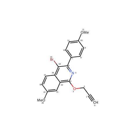 C#CCOc1nc(-c2ccc(OC)cc2)c(Br)c2ccc(OC)cc12